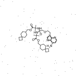 C[C@H](Cn1cnc2c(N)ccnc21)OCP(=O)(NC(C)(C)C(=O)OCC1CCC2(CCC2)CC1)NC(C)(C)C(=O)OCC1CCC2(CCC2)CC1